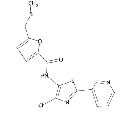 CSCc1ccc(C(=O)Nc2sc(-c3cccnc3)nc2Cl)o1